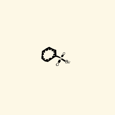 CC[C](C)S(=O)(=O)c1ccccc1